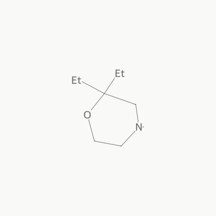 CCC1(CC)C[N]CCO1